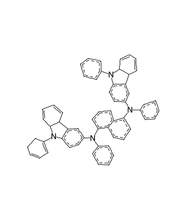 C1=CCCC(N2c3ccc(N(c4ccccc4)c4cccc5c(N(c6ccccc6)c6ccc7c(c6)C6C=CC=CC6N7c6ccccc6)cccc45)cc3C3C=CC=CC32)=C1